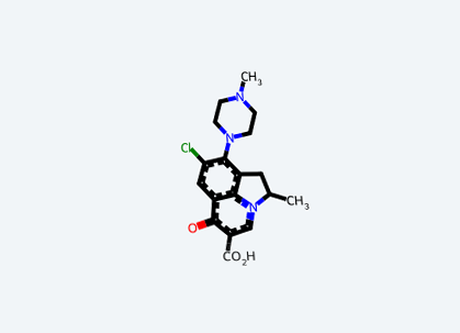 CC1Cc2c(N3CCN(C)CC3)c(Cl)cc3c(=O)c(C(=O)O)cn1c23